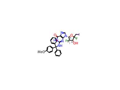 COc1ccc(C(Nc2nc3c(ncn3[C@@H]3O[C@](F)(CI)[C@@H](O)[C@@]3(C)F)c(=O)[nH]2)(c2ccccc2)c2ccccc2)cc1